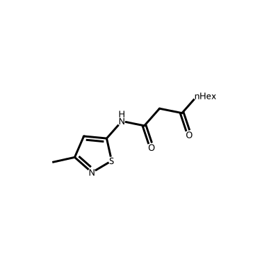 CCCCCCC(=O)CC(=O)Nc1cc(C)ns1